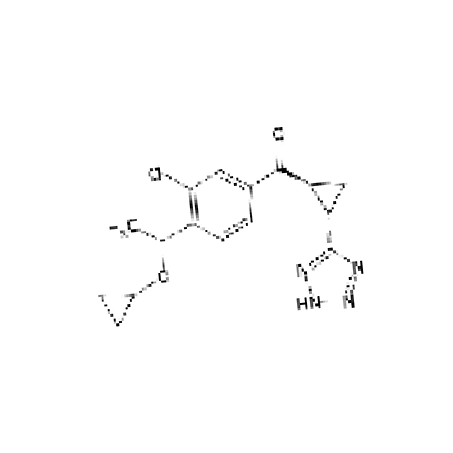 CC(OC1CC1)c1ccc(C(=O)[C@H]2C[C@@H]2c2nn[nH]n2)cc1Cl